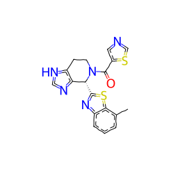 Cc1cccc2nc([C@@H]3c4nc[nH]c4CCN3C(=O)c3cncs3)sc12